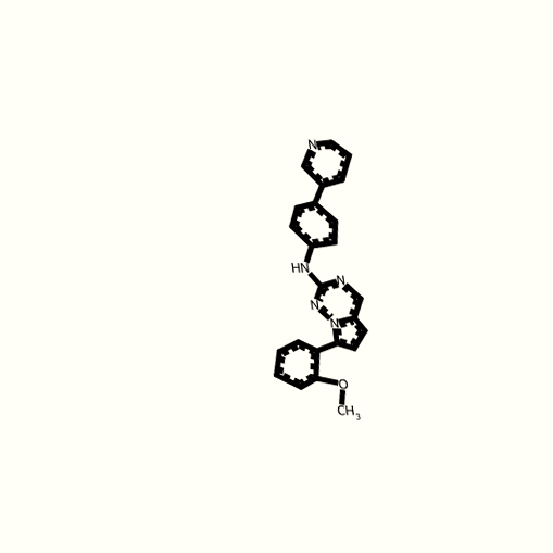 COc1ccccc1-c1ccc2cnc(Nc3ccc(-c4cccnc4)cc3)nn12